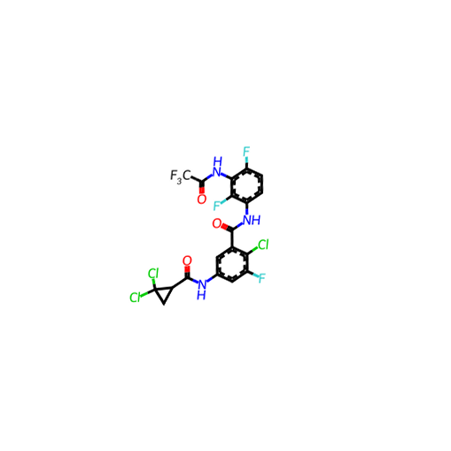 O=C(Nc1ccc(F)c(NC(=O)C(F)(F)F)c1F)c1cc(NC(=O)C2CC2(Cl)Cl)cc(F)c1Cl